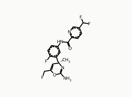 C[C@@]1(c2cc(NC(=O)c3ccc(C(F)F)cn3)ccc2F)C=C(CF)OC(N)=N1